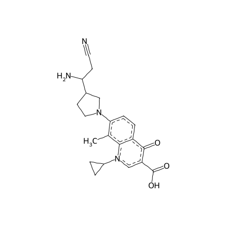 Cc1c(N2CCC(C(N)CC#N)C2)ccc2c(=O)c(C(=O)O)cn(C3CC3)c12